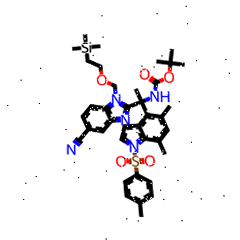 Cc1ccc(S(=O)(=O)n2ccc3c(C(C)(NC(=O)OC(C)(C)C)c4nc5cc(C#N)ccc5n4COCC[Si](C)(C)C)c(C)cc(C)c32)cc1